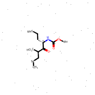 CSCC[C@H](NC(=O)OC(C)(C)C)C(=O)C(C[Se]C)C(=O)O